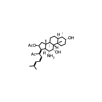 CC(=O)O[C@H]1C[C@@]2(C)[C@H](/C1=C(\C=C/C=C(C)C)C(C)=O)[C@@H](N)[C@@H](O)[C@H]1[C@@]3(C)CC[C@@H](O)[C@@H](C)[C@@H]3CC[C@@]12C